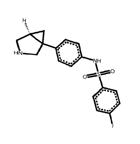 O=S(=O)(Nc1ccc(C23CNC[C@H]2C3)cc1)c1ccc(I)cc1